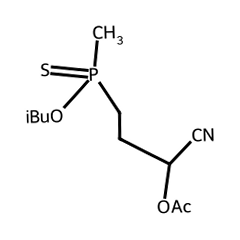 CC(=O)OC(C#N)CCP(C)(=S)OCC(C)C